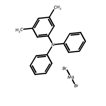 Cc1[c]c(C)cc(N(c2ccccc2)c2ccccc2)c1.[Br][Mg][Br]